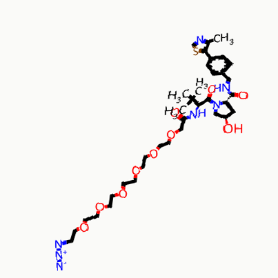 Cc1ncsc1-c1ccc(CNC(=O)[C@@H]2C[C@@H](O)CN2C(=O)[C@@H](NC(=O)COCCOCCOCCOCCOCCOCCN=[N+]=[N-])C(C)(C)C)cc1